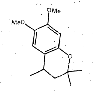 COc1cc2c(cc1OC)C(C)CC(C)(C)O2